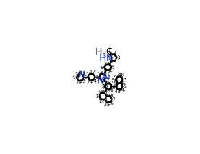 CC1C=CCC(c2ccc(-c3cc(C4C=CC(C5=NC=CCC5)=CC4)nc(-c4cc(C5=CC=CC6C=CC=CC56)cc(-c5cccc6ccccc56)c4)n3)cc2)N1